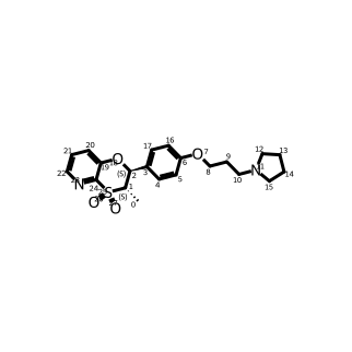 C[C@H]1[C@H](c2ccc(OCCCN3CCCC3)cc2)Oc2cccnc2S1(=O)=O